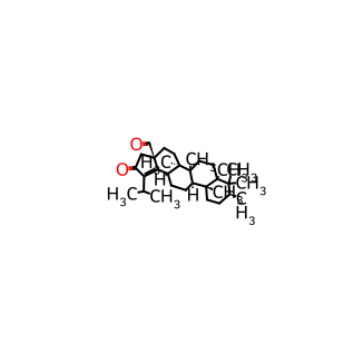 CC(C)C1=C2[C@H]3CC[C@@H]4[C@@]5(C)CC[C@H](C)C(C)(C)[C@]5(C)CC[C@@]4(C)[C@]3(C)CC[C@@]2(C=O)CC1=O